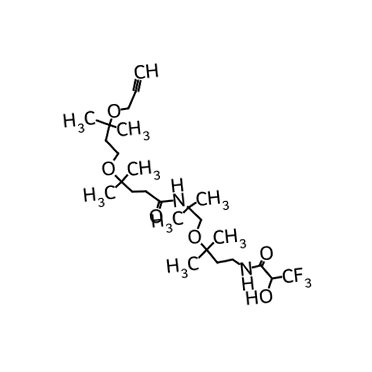 C#CCOC(C)(C)CCOC(C)(C)CCC(=O)NC(C)(C)COC(C)(C)CCNC(=O)C(O)C(F)(F)F